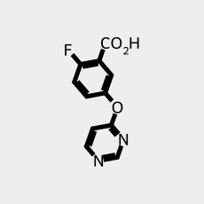 O=C(O)c1cc(Oc2ccncn2)ccc1F